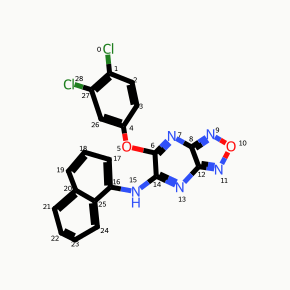 Clc1ccc(Oc2nc3nonc3nc2Nc2cccc3ccccc23)cc1Cl